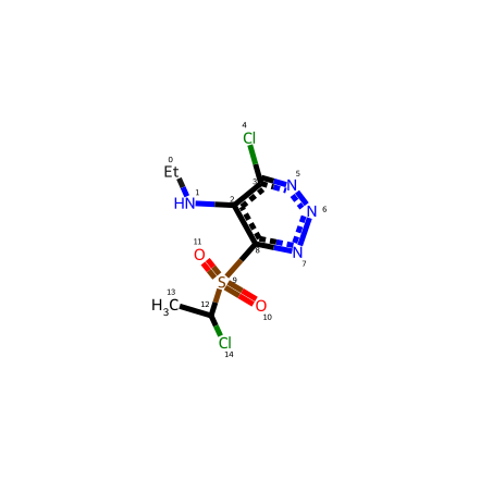 CCNc1c(Cl)nnnc1S(=O)(=O)C(C)Cl